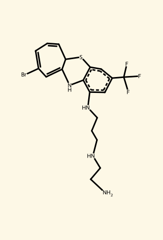 NCCNCCCNc1cc(C(F)(F)F)cc2c1NC1=CC(Br)=CC=CC1S2